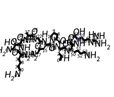 C=CC[C@H](NC(=O)[C@@H]1CCCN1C(=O)[C@@H](CCCN)NC(=O)CNC(=O)C(C)NC(=O)[C@@H](NC(=O)C(N)CCCCN)[C@@H](O)CN)C(=O)N[C@@H](CCCCN)C(=O)N/C(=C\CCNC(=N)N)C(=O)O